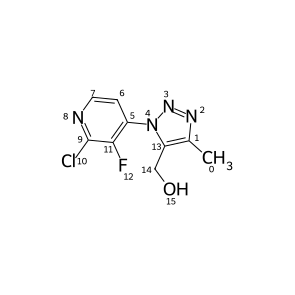 Cc1nnn(-c2ccnc(Cl)c2F)c1CO